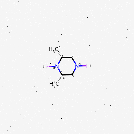 C[C@@H]1CN(I)C[C@H](C)N1I